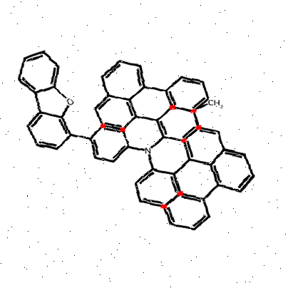 CC1C=CC(N(c2ccc(-c3cccc4c3oc3ccccc34)cc2)c2ccccc2-c2cccc3cccc(-c4ccccc4)c23)=C(c2cccc3cccc(-c4ccccc4)c23)C1